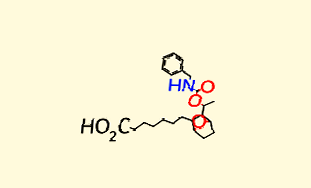 CC(OC(=O)NCc1ccccc1)C1C2CCC(O2)C1CCCCCCC(=O)O